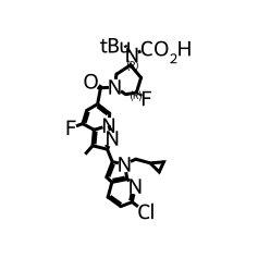 Cc1c(-c2cc3ccc(Cl)nc3n2CC2CC2)nn2cc(C(=O)N3C[C@H](F)C[C@@H](N(C(=O)O)C(C)(C)C)C3)cc(F)c12